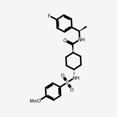 COc1ccc(S(=O)(=O)N[C@H]2CC[C@H](C(=O)N[C@H](C)c3ccc(F)cc3)CC2)cc1